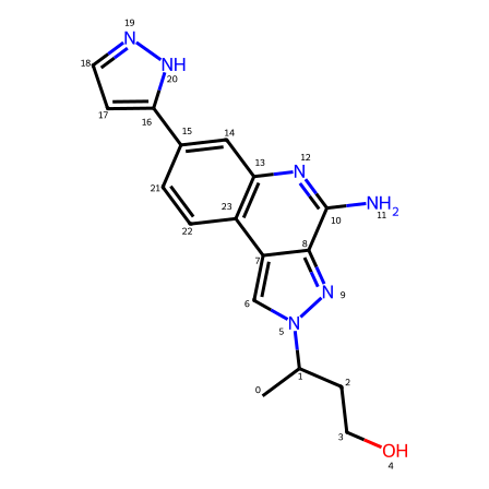 CC(CCO)n1cc2c(n1)c(N)nc1cc(-c3ccn[nH]3)ccc12